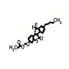 C=CC(=O)OCOc1ccc2cc(-c3ccc(CCCCC)cc3C(F)(F)F)c(=O)sc2c1